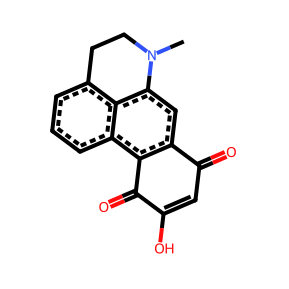 CN1CCc2cccc3c4c(cc1c23)C(=O)C=C(O)C4=O